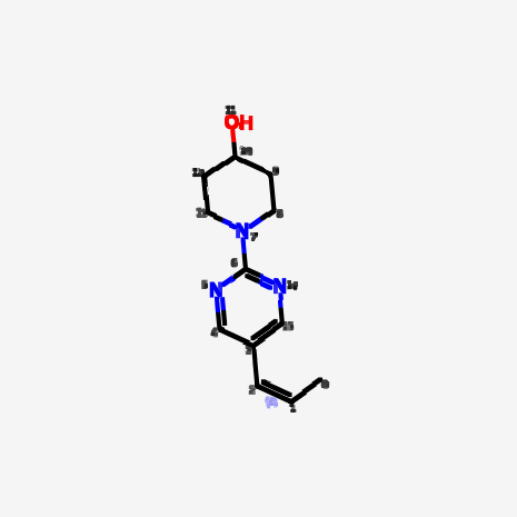 C/C=C\c1cnc(N2CCC(O)CC2)nc1